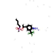 CCCCP(C)(=O)OC(C)c1ccc(N)c(C(F)(F)F)c1